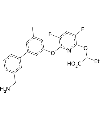 CCC(Oc1nc(Oc2cc(C)cc(-c3cccc(CN)c3)c2)c(F)cc1F)C(=O)O